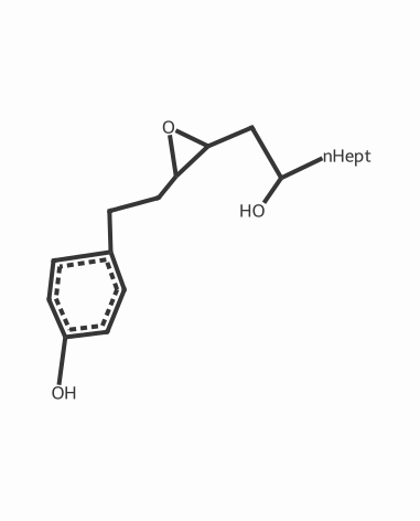 CCCCCCCC(O)CC1OC1CCc1ccc(O)cc1